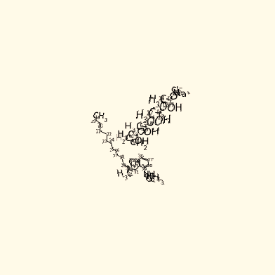 C=C.CC(=O)O.CC(=O)O.CC(=O)O.CC(=O)O.CCCCCCCCCCCC[N+](C)(C)Cc1ccccc1.N.N.[Cl-].[Cl-].[Na+]